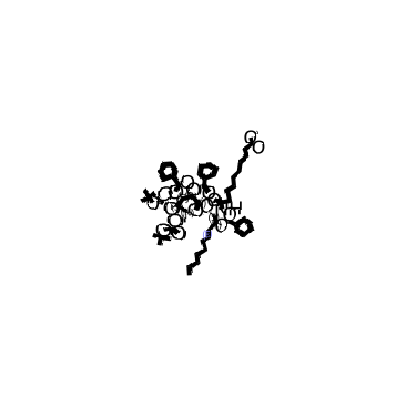 CCCCCC/C=C/[C@@H](OC(=O)c1ccccc1)[C@H](CO[C@@]1(C)O[C@H](COC(=O)OC(C)(C)C)[C@H](OC(=O)OC(C)(C)C)[C@H](OC(=O)c2ccccc2)[C@H]1OC(=O)c1ccccc1)NC(=O)CCCCCCCCC(=O)OC